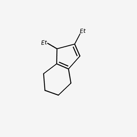 CCC1=CC2=C(CCCC2)C1CC